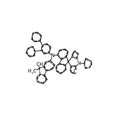 CC1(C)c2ccccc2-c2ccc(N(c3ccc(-c4ccccc4)c(-c4ccccc4)c3)c3cccc4c3-c3ccccc3C43c4ccccc4N(c4ccccc4)c4ccccc43)cc21